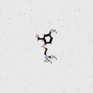 Cc1ccc(OCCN(C)C)c(C=O)c1